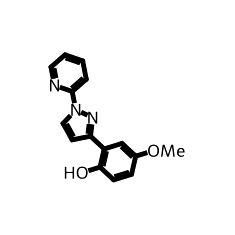 COc1ccc(O)c(-c2ccn(-c3ccccn3)n2)c1